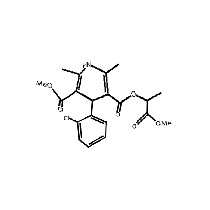 COC(=O)C1=C(C)NC(C)=C(C(=O)OC(C)C(=O)OC)C1c1ccccc1Cl